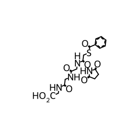 O=C(O)CNC(=O)CNC(=O)CNC(=O)CSC(=O)c1ccccc1.O=C1CCC(=O)N1